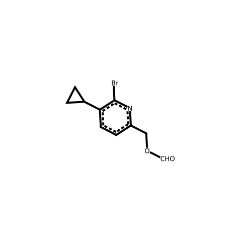 O=COCc1ccc(C2CC2)c(Br)n1